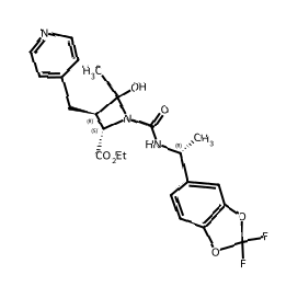 CCOC(=O)[C@@H]1[C@@H](Cc2ccncc2)C(C)(O)N1C(=O)N[C@H](C)c1ccc2c(c1)OC(F)(F)O2